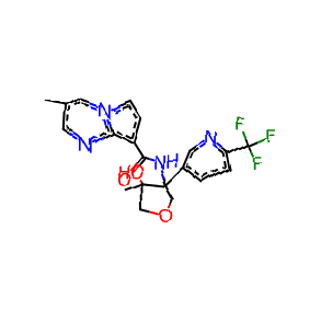 Cc1cnc2c(C(=O)NC3(c4ccc(C(F)(F)F)nc4)COCC3(C)O)ccn2c1